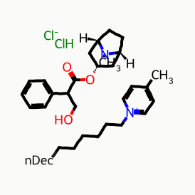 CCCCCCCCCCCCCCCC[n+]1ccc(C)cc1.CN1[C@@H]2CC[C@H]1C[C@@H](OC(=O)C(CO)c1ccccc1)C2.Cl.[Cl-]